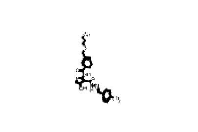 Cc1ccc(C=NNC(=O)c2c(C)csc2NC(=O)c2cccc(CSCCCO)c2)cc1